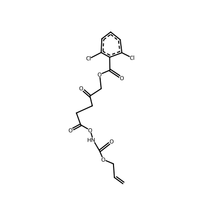 C=CCOC(=O)NOC(=O)CCC(=O)COC(=O)c1c(Cl)cccc1Cl